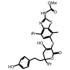 COC(=O)Nc1nc2c(C(C)C)cc(SC3=C(O)CC(CCc4ccc(O)cc4)(C(C)C)OC3=O)c(C)c2s1